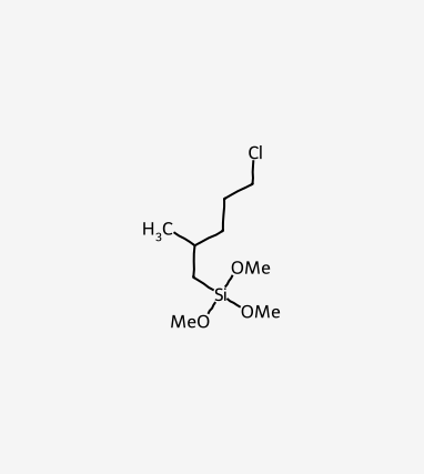 CO[Si](CC(C)CCCCl)(OC)OC